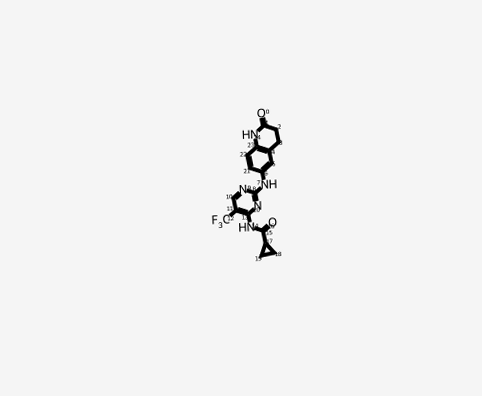 O=C1CCc2cc(Nc3ncc(C(F)(F)F)c(NC(=O)C4CC4)n3)ccc2N1